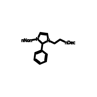 CCCCCCCCCCCCN1C=CN(CCCCCCCCC)C1c1ccccc1